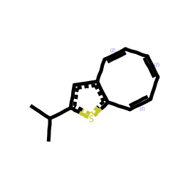 CC(C)c1cc2c(s1)\C=C/C=C\C=C/2